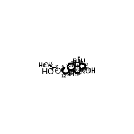 CCCC[C@@H]1Cc2cc(OCC(O)CO)ccc2[C@H]2CC[C@]3(C)[C@@H](O)CC[C@H]3[C@H]12